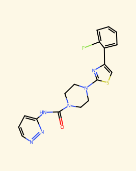 O=C(Nc1cccnn1)N1CCN(c2nc(-c3ccccc3F)cs2)CC1